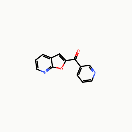 O=C(c1cccnc1)c1cc2cccnc2o1